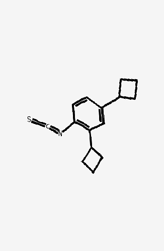 S=C=Nc1ccc(C2CCC2)cc1C1CCC1